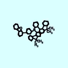 CC1(C)c2ccccc2-c2c(-c3ccccc3N(c3ccc(-c4cccc5c4oc4ccccc45)cc3)c3cccc4c3-c3ccccc3C4(C)C)cccc21